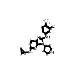 FC(F)(F)c1ccc(Nc2nc3cnc(NC4CC4)nc3n2C2CCNCC2)cc1Cl